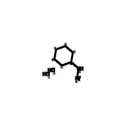 Cl.Cl.[Hf][NH]C1CCCCC1